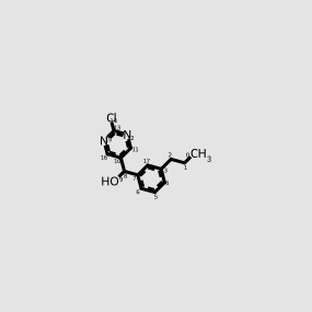 CCCc1cccc(C(O)c2cnc(Cl)nc2)c1